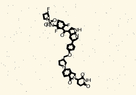 O=C1CCC(N2Cc3cc(N4CC[C@@H](COc5ccc(-c6cnc7[nH]cc(C(=O)c8c(F)ccc(NS(=O)(=O)N9CC[C@@H](F)C9)c8F)c7c6)cc5)C4)ccc3C2=O)C(=O)N1